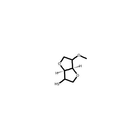 COC1CO[C@@H]2C(S)CO[C@H]12